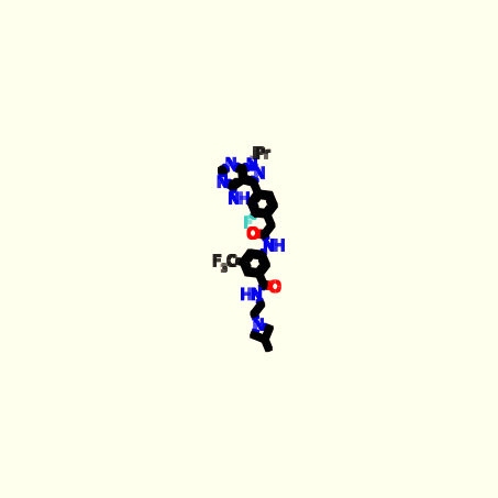 CC1CN(CCNC(=O)c2cc(NC(=O)Cc3ccc(-c4nn(C(C)C)c5ncnc(N)c45)cc3F)cc(C(F)(F)F)c2)C1